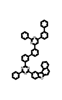 c1ccc(-c2cccc(-c3cc(-c4cccc(-c5cccc(-c6nc(-c7ccccc7)nc(-c7ccc8oc9ccc%10ccccc%10c9c8c7)n6)c5)c4)nc(-c4ccccc4)n3)c2)cc1